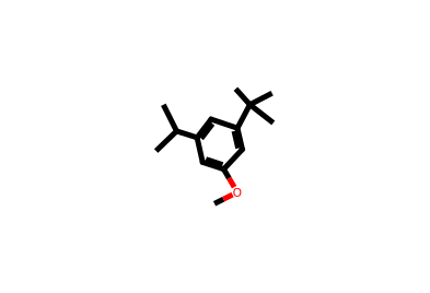 COc1cc([C](C)C)cc(C(C)(C)C)c1